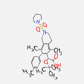 Cc1ccc(-c2c(C)c3c(c(C)c2[C@H](OC(C)(C)C)C(=O)O)CCN(S(=O)(=O)N2CCCCC2)C3)cc1